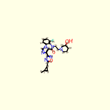 CC1CC1c1nc(-c2ncn3c2c(=O)n(CCN2CCCC(O)C2)c2c(F)cccc23)no1